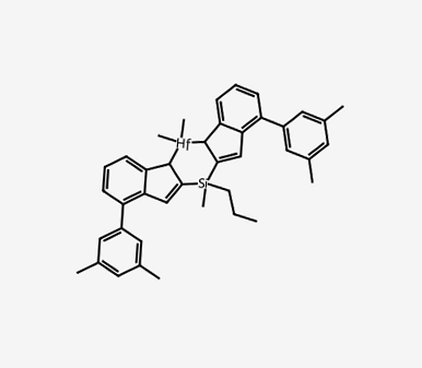 CCC[Si]1(C)C2=Cc3c(-c4cc(C)cc(C)c4)cccc3[CH]2[Hf]([CH3])([CH3])[CH]2C1=Cc1c(-c3cc(C)cc(C)c3)cccc12